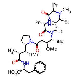 CCC(CC)N(C)C(C(=O)N[C@H](C(=O)N(C)[C@@H]([C@@H](C)CC)[C@@H](CC(=O)N1CCC[C@H]1[C@H](OC)[C@@H](C)C(=O)N[C@@H](Cc1ccccc1)C(=O)O)OC)C(C)C)C(C)C